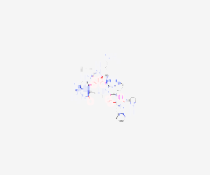 CC(C)C[C@H](NC(=O)[C@H](Cc1c[nH]cn1)NC(=O)[C@H](CC(C)C)NC(=O)[C@H](CCCCN)NC(=O)[C@H](CC(C)C)NC(=O)[C@H](CCCCN)NC(=O)[C@H](Cc1ccccc1)NC(=O)[C@@H]1CCCN1)C(N)=O